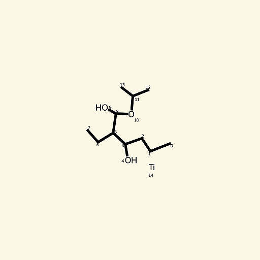 CCCC(O)C(CC)C(O)OC(C)C.[Ti]